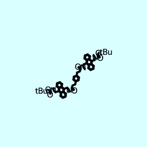 CN(Cc1c2ccccc2c(CN(C)C(=O)OC(C)(C)C)c2ccccc12)C(=O)CCc1ccc(CCC(=O)N(C)Cc2c3ccccc3c(CN(C)C(=O)OC(C)(C)C)c3ccccc23)cc1